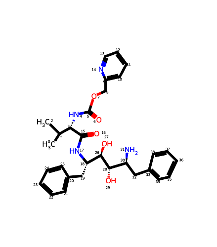 CC(C)[C@H](NC(=O)OCc1ccccn1)C(=O)N[C@@H](Cc1ccccc1)[C@@H](O)[C@@H](O)[C@@H](N)Cc1ccccc1